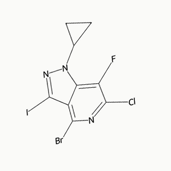 Fc1c(Cl)nc(Br)c2c(I)nn(C3CC3)c12